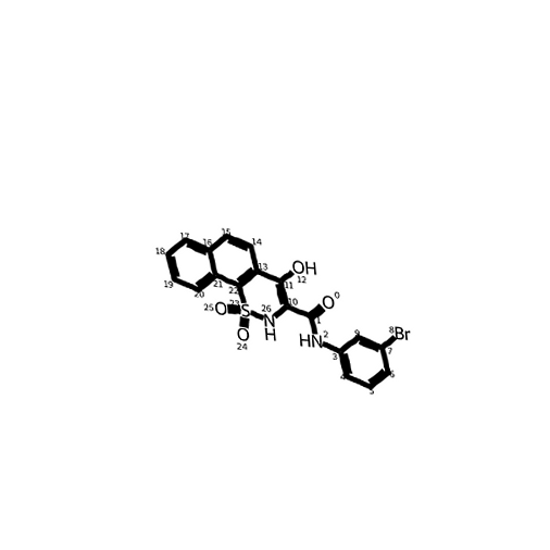 O=C(Nc1cccc(Br)c1)C1=C(O)c2ccc3ccccc3c2S(=O)(=O)N1